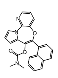 CN(C)C(=O)OC1=C(c2cccc3ccccc23)Oc2cccnc2-n2cccc21